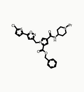 CC(C)N1CCC(NC(=O)c2cc(C(=O)OCc3ccccc3)n(Cc3cc(-c4ccc(Cl)s4)on3)c2)CC1